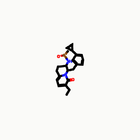 CCc1ccc2n(c1=O)C(Cc1cccc(C3CC3)c1)C(N[S+](C)[O-])CC2